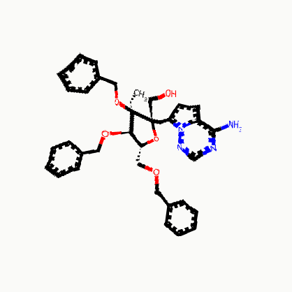 C[C@@]1(OCc2ccccc2)[C@H](OCc2ccccc2)[C@@H](COCc2ccccc2)O[C@@]1(CO)c1ccc2c(N)ncnn12